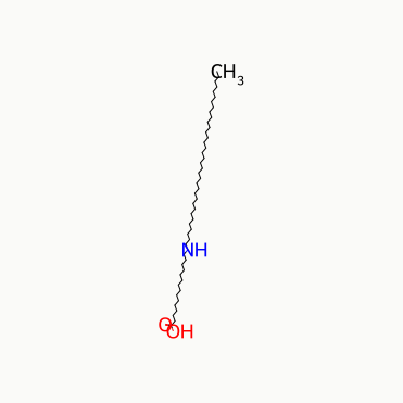 CCCCCCCCCCCCCCCCCCCCCCCCCCCCCCCCCCCNCCCCCCCCCCCCCCC(=O)O